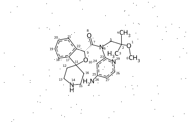 COC(C)(C)CN(C(=O)[C@@H]1OC2(CCNCC2)c2ccccc21)c1cc(N)ccn1